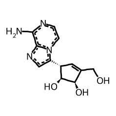 Nc1nccn2c([C@@H]3C=C(CO)[C@@H](O)[C@H]3O)cnc12